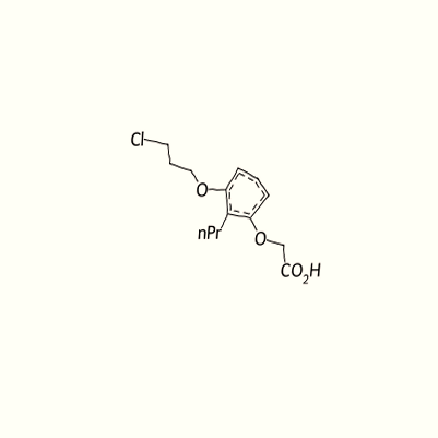 CCCc1c(OCCCCl)cccc1OCC(=O)O